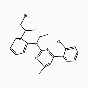 CCN(c1nc(C)cc(-c2ccccc2Cl)n1)c1ccccc1C(C)CBr